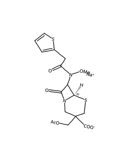 CON(C(=O)Cc1cccs1)C1C(=O)N2CC(COC(C)=O)(C(=O)[O-])CS[C@H]12.[Na+]